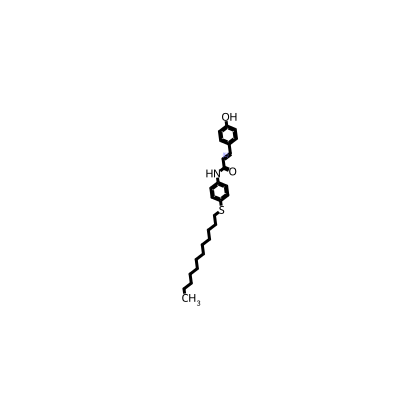 CCCCCCCCCCCCSc1ccc(NC(=O)/C=C/c2ccc(O)cc2)cc1